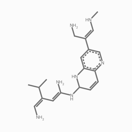 CN/C=C(\CN)c1cnc2c(c1)NC(N/C(N)=C/C(=C\N)C(C)C)C=C2